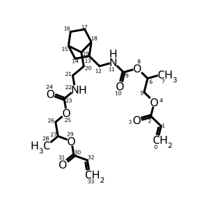 C=CC(=O)OCC(C)OC(=O)NCC1CC2CCC1C2CCNC(=O)OCC(C)OC(=O)C=C